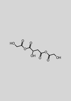 O=C(CO)OC(=O)CC(O)C(=O)OC(=O)CO